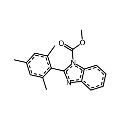 COC(=O)n1c(-c2c(C)cc(C)cc2C)nc2ccccc21